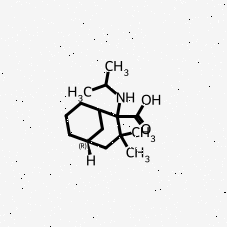 CC(C)NC1(C(=O)O)C2CCC[C@H](C2)CC1(C)C